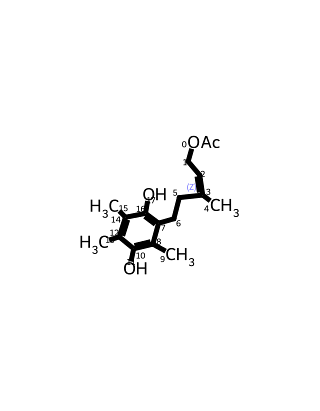 CC(=O)OC/C=C(/C)CCc1c(C)c(O)c(C)c(C)c1O